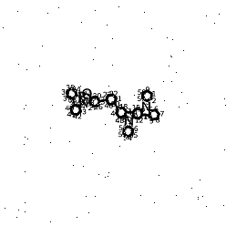 c1ccc(-n2c3ccccc3c3cc4c(cc32)c2cc(-c3cccc(-c5ccc6c(c5)OB5c7ccccc7-c7ccccc7N56)c3)ccc2n4-c2ccccc2)cc1